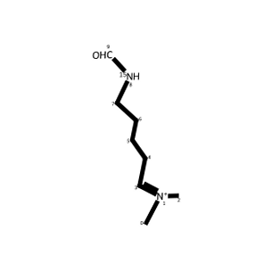 C[N+](C)=CCCCC[15NH][13CH]=O